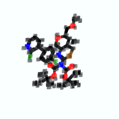 COC[C@H]1C[C@H]2CSC(N(C(=O)OC(C)(C)C)C(=O)OC(C)(C)C)=N[C@@]2(c2cc(-c3cccnc3F)ccc2F)CO1